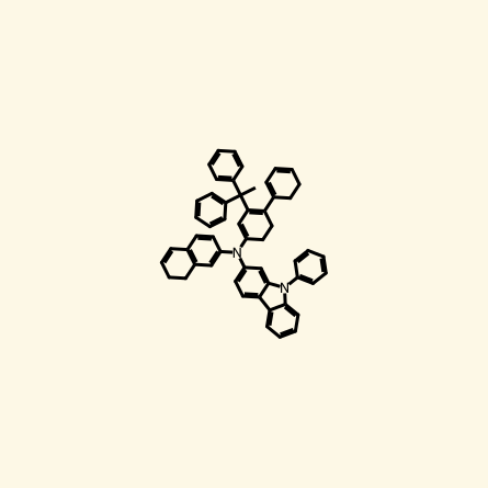 CC(C1=C(C2=CC=CCC2)CCC(N(c2ccc3c(c2)CCC=C3)c2ccc3c4ccccc4n(-c4ccccc4)c3c2)=C1)(c1ccccc1)c1ccccc1